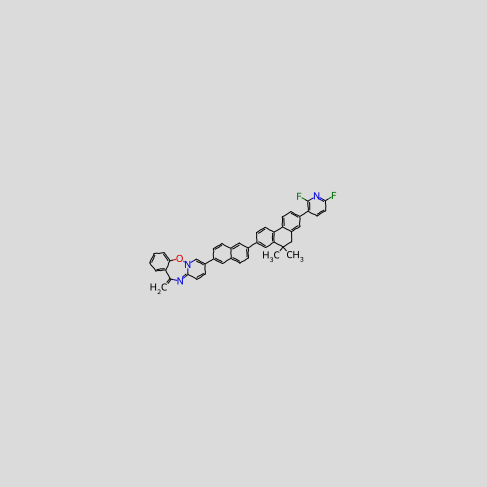 C=C1N=C2C=CC(c3ccc4cc(-c5ccc6c(c5)C(C)(C)Cc5cc(-c7ccc(F)nc7F)ccc5-6)ccc4c3)=CN2Oc2ccccc21